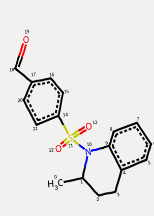 CC1CCc2ccccc2N1S(=O)(=O)c1ccc(C=O)cc1